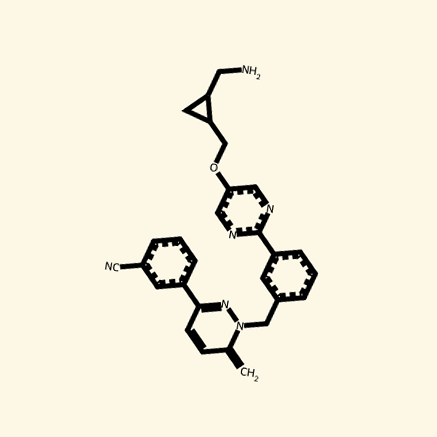 C=C1C=CC(c2cccc(C#N)c2)=NN1Cc1cccc(-c2ncc(OCC3CC3CN)cn2)c1